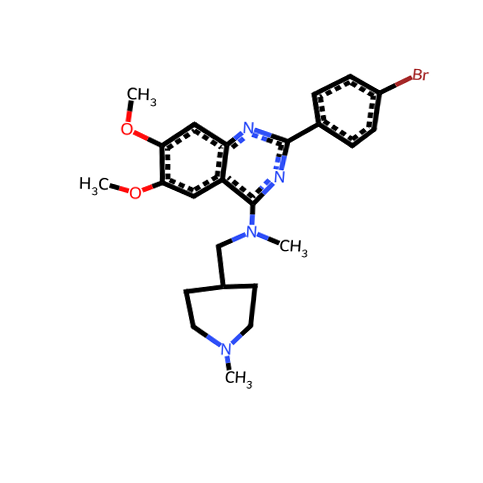 COc1cc2nc(-c3ccc(Br)cc3)nc(N(C)CC3CCN(C)CC3)c2cc1OC